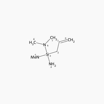 C=CC[Si](N)(NC)N(C)C